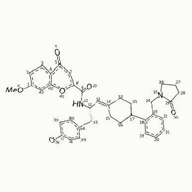 COc1ccc2c(=O)cc(C(=O)N[C@H](C=C3CCC(c4ccccc4CN4CCCC4=O)CC3)Cc3ccc(Cl)cc3)oc2c1